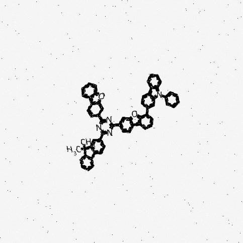 CC1(C)c2ccccc2-c2ccc(-c3nc(-c4ccc5c(c4)oc4c(-c6ccc7c8ccccc8n(-c8ccccc8)c7c6)cccc45)nc(C4C=Cc5c(oc6ccccc56)C4)n3)cc21